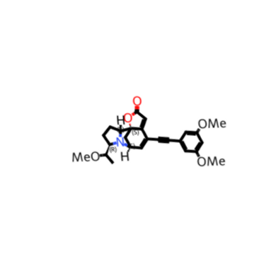 COc1cc(C#CC2=C[C@@H]3C[C@@]4(OC(=O)C=C24)[C@H]2CC[C@H](C(C)OC)N32)cc(OC)c1